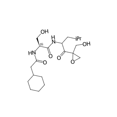 CC(C)CC(NC(=O)[C@H](CO)NC(=O)CC1CCCCC1)C(=O)C1(CO)CO1